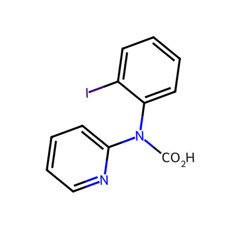 O=C(O)N(c1ccccn1)c1ccccc1I